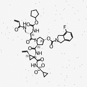 C=CC(=O)NC[C@H](NC(=O)OC1CCCC1)C(=O)N1C[C@H](OC(=O)N2Cc3cccc(F)c3C2)C[C@H]1C(=O)N[C@]1(C(=O)NS(=O)(=O)C2CC2)C[C@H]1C=C